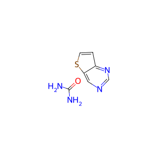 NC(N)=O.c1ncc2sccc2n1